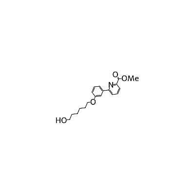 COC(=O)c1cccc(-c2cccc(OCCCCCCO)c2)n1